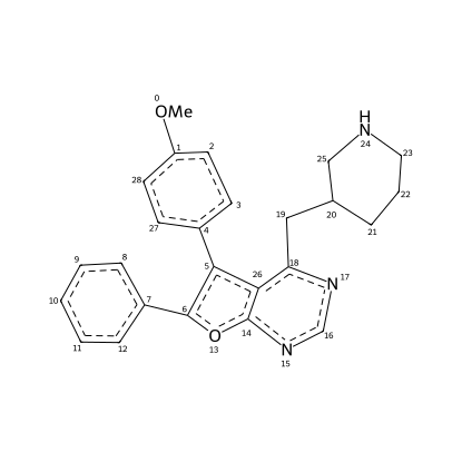 COc1ccc(-c2c(-c3ccccc3)oc3ncnc(CC4CCCNC4)c23)cc1